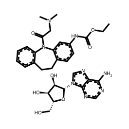 CCOC(=O)Nc1ccc2c(c1)N(C(=O)CN(C)C)c1ccccc1CC2.Nc1ncnc2c1ncn2[C@@H]1O[C@H](CO)[C@@H](O)[C@H]1O